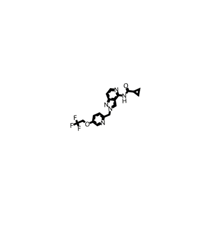 O=C(Nc1nccc2nn(Cc3ccc(OCC(F)(F)F)cn3)cc12)C1CC1